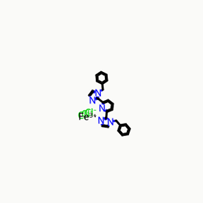 [Cl-].[Cl-].[Cl-].[Fe+3].c1ccc(Cn2ccnc2-c2cccc(-c3nccn3Cc3ccccc3)n2)cc1